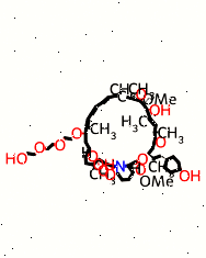 CO[C@@H]1C[C@H](CC(C)[C@@H]2CC(=O)[C@H](C)/C=C(\C)[C@@H](O)[C@@H](OC)C(=O)[C@H](C)C[C@H](C)/C=C/C=C/C=C(\C)[C@H](OCCOCCOCCO)C[C@@H]3CC[C@@H](C)[C@@](O)(O3)C(=O)C(=O)N3CCCC[C@H]3C(=O)O2)CC[C@H]1O